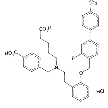 Cl.O=C(O)CCCCN(CCc1ccccc1OCc1ccc(-c2ccc(C(F)(F)F)cc2)cc1F)Cc1ccc(C(=O)O)cc1